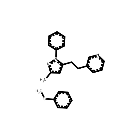 COc1ccccc1.Nc1cc(CCc2cccnc2)n(-c2ccccc2)n1